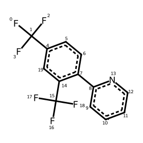 FC(F)(F)c1ccc(-c2c[c]ccn2)c(C(F)(F)F)c1